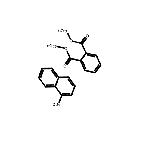 CCCCCCCCOC(=O)c1ccccc1C(=O)OCCCCCCCC.O=[N+]([O-])c1cccc2ccccc12